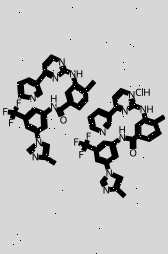 Cc1cn(-c2cc(NC(=O)c3ccc(C)c(Nc4nccc(-c5cccnc5)n4)c3)cc(C(F)(F)F)c2)cn1.Cc1cn(-c2cc(NC(=O)c3ccc(C)c(Nc4nccc(-c5cccnc5)n4)c3)cc(C(F)(F)F)c2)cn1.Cl